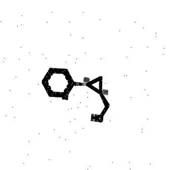 OC[C@@H]1C[C@H]1c1ccccn1